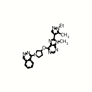 CCn1ncc(-c2nc3c(OC4CCN(c5nncc6ccccc56)C4)ncnc3n2C)c1C